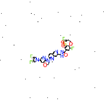 O=C(NCc1cc2nc(N3CCOc4cc(N5C[C@@H](F)[C@H](F)C5)cnc43)ccc2cn1)c1cc(F)c2c(c1)S(=O)(=O)[C@@H](F)CCO2